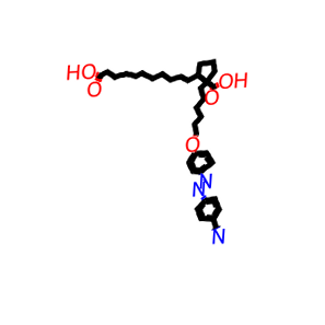 N#Cc1ccc(N=Nc2ccc(OCCCCCCC3(C(=O)O)CCCC3CCCCCCCCCCC(=O)O)cc2)cc1